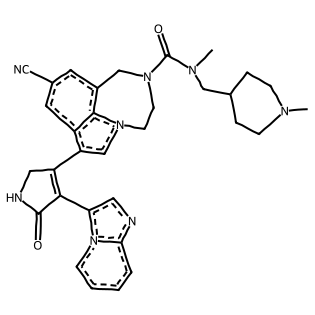 CN1CCC(CN(C)C(=O)N2CCn3cc(C4=C(c5cnc6ccccn56)C(=O)NC4)c4cc(C#N)cc(c43)C2)CC1